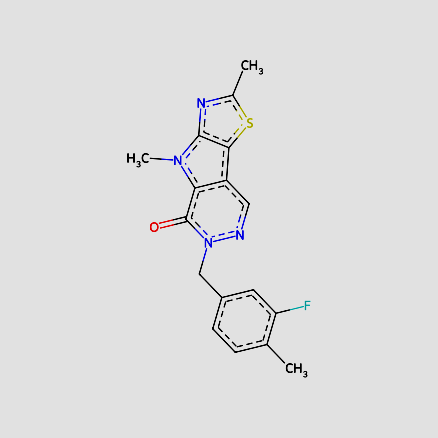 Cc1nc2c(s1)c1cnn(Cc3ccc(C)c(F)c3)c(=O)c1n2C